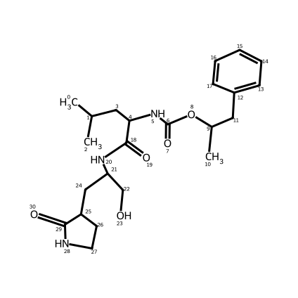 CC(C)CC(NC(=O)OC(C)Cc1ccccc1)C(=O)NC(CO)CC1CCNC1=O